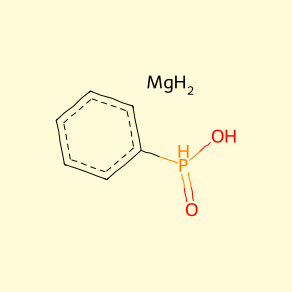 O=[PH](O)c1ccccc1.[MgH2]